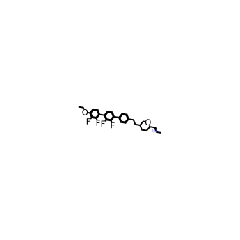 C/C=C/C1CCC(CCc2ccc(-c3ccc(-c4ccc(OCC)c(F)c4F)c(F)c3F)cc2)CO1